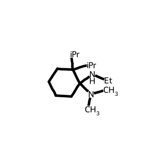 CCNC1(N(C)C)CCCCC1(C(C)C)C(C)C